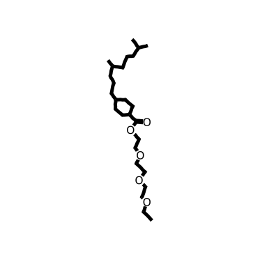 CCOCCOCCOCCOC(=O)C1CCC(CCCC(C)CCCC(C)C)CC1